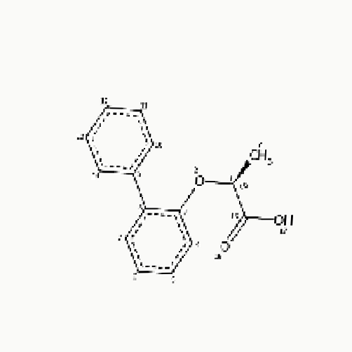 C[C@H](Oc1ccccc1-c1ccccc1)C(=O)O